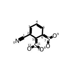 N#CC1=CC=CC(=S(=O)=O)C1=S(=O)=O